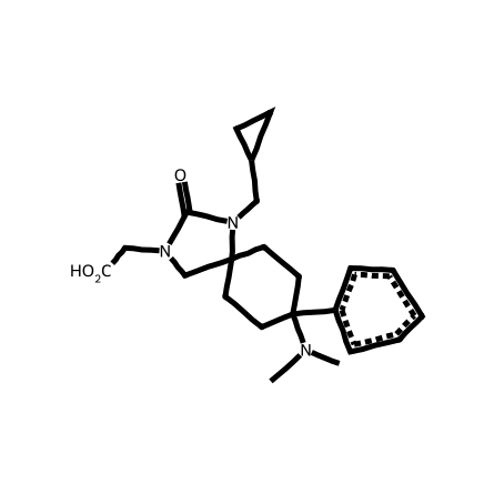 CN(C)C1(c2ccccc2)CCC2(CC1)CN(CC(=O)O)C(=O)N2CC1CC1